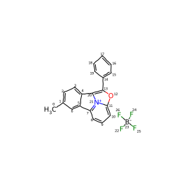 Cc1ccc2c(c1)-c1cccc3oc(-c4ccccc4)c-2[n+]13.F[B-](F)(F)F